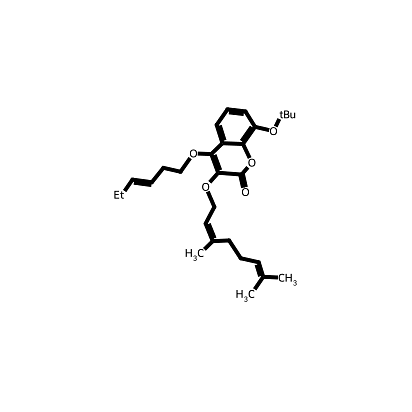 CCC=CCCOc1c(OCC=C(C)CCC=C(C)C)c(=O)oc2c(OC(C)(C)C)cccc12